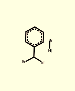 BrC(Br)c1ccccc1.[Br][Hf]